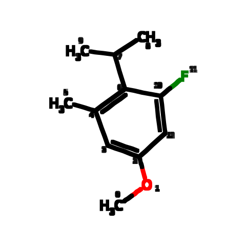 COc1cc(C)c(C(C)C)c(F)c1